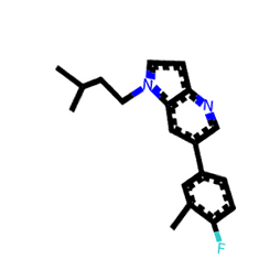 Cc1cc(-c2cnc3ccn(CCC(C)C)c3c2)ccc1F